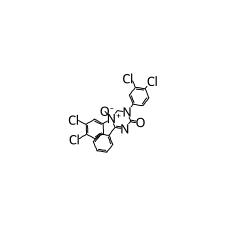 O=C1N=C(c2ccccc2)[N+]([O-])(c2ccc(Cl)c(Cl)c2)CN1c1ccc(Cl)c(Cl)c1